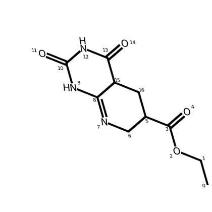 CCOC(=O)C1CN=C2NC(=O)NC(=O)C2C1